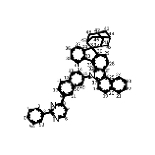 c1ccc(-c2nccc(-c3ccc4ccc(-n5c6ccc7ccccc7c6c6ccc7c(c65)-c5ccccc5C75C6CC7CC(C6)CC5C7)cc4c3)n2)cc1